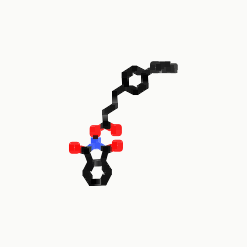 COc1ccc(CCCC(=O)ON2C(=O)c3ccccc3C2=O)cc1